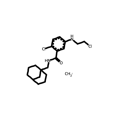 O=C(NCC12CCCC(CCC1)C2)c1cc(NCCCl)ccc1Cl.[CH2]